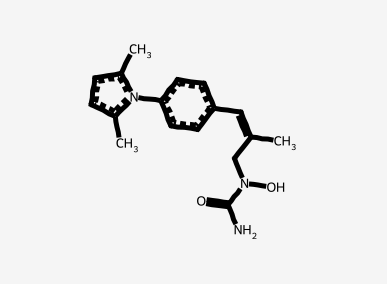 CC(=Cc1ccc(-n2c(C)ccc2C)cc1)CN(O)C(N)=O